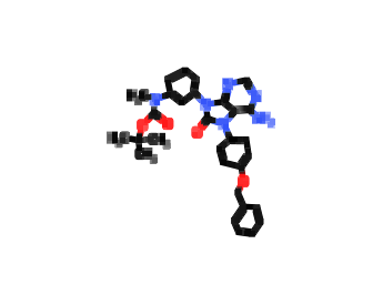 CN(C(=O)OC(C)(C)C)c1cccc(-n2c(=O)n(-c3ccc(OCc4ccccc4)cc3)c3c(N)ncnc32)c1